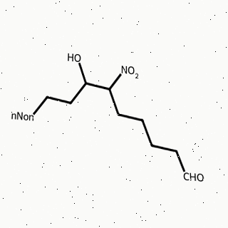 CCCCCCCCCCCC(O)C(CCCCC=O)[N+](=O)[O-]